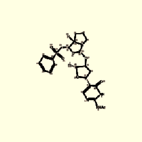 CC[C@H]1O[C@@H](c2cnc(NC(C)=O)[nH]c2=O)CC1O[P@@]1O[C@H](CS(=O)(=O)c2ccccc2)[C@@H]2CCCN21